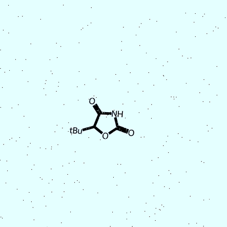 CC(C)(C)C1OC(=O)NC1=O